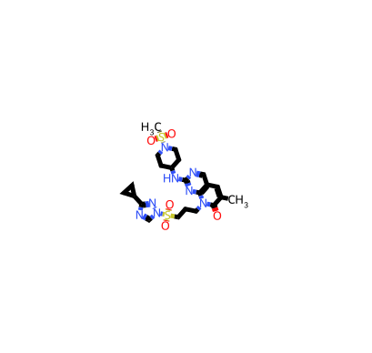 Cc1cc2cnc(NC3CCN(S(C)(=O)=O)CC3)nc2n(CCCS(=O)(=O)n2cnc(C3CC3)n2)c1=O